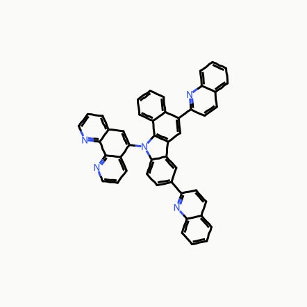 c1ccc2nc(-c3ccc4c(c3)c3cc(-c5ccc6ccccc6n5)c5ccccc5c3n4-c3cc4cccnc4c4ncccc34)ccc2c1